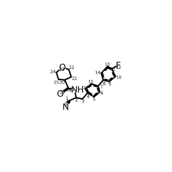 N#CC(Cc1ccc(-c2ccc(F)cc2)cc1)NC(=O)C1CCOCC1